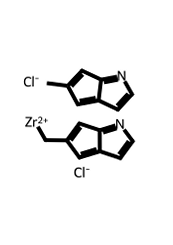 CC1=CC2=NC=CC2=C1.[Cl-].[Cl-].[Zr+2][CH2]C1=CC2=NC=CC2=C1